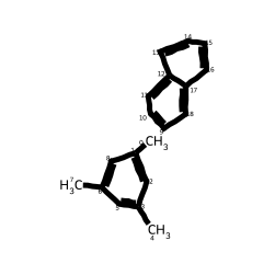 Cc1cc(C)cc(C)c1.c1ccc2ccccc2c1